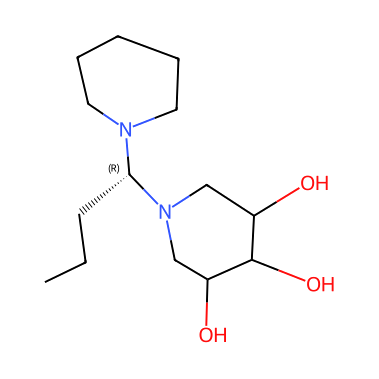 CCC[C@H](N1CCCCC1)N1CC(O)C(O)C(O)C1